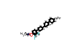 C/C=C/Oc1ccc(C2CCC(C3CCC(C4CCC(CCC)CC4)CC3)CC2)c(F)c1F